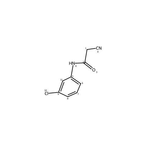 N#CCC(=O)Nc1cccc(Cl)c1